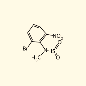 CN(c1c(Br)cccc1[N+](=O)[O-])[SH](=O)=O